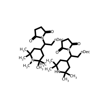 CCCCCCCCCCCC(C1CC(C)(C)N(C)C(C)(C)C1)N1C(=O)CCC1=O.CCCCCCCCCCCC(C1CC(C)(C)NC(C)(C)C1)N1C(=O)CCC1=O